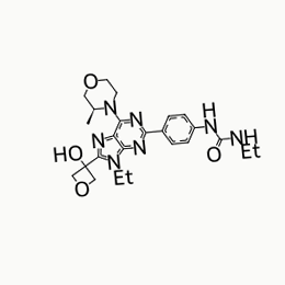 CCNC(=O)Nc1ccc(-c2nc(N3CCOC[C@@H]3C)c3nc(C4(O)COC4)n(CC)c3n2)cc1